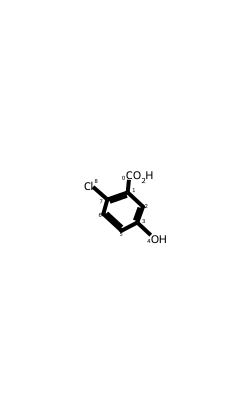 O=C(O)c1cc(O)ccc1Cl